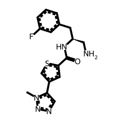 Cn1nncc1-c1csc(C(=O)N[C@H](CN)Cc2cccc(F)c2)c1